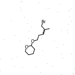 CC(=CCCOC1CCCCO1)CBr